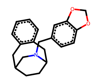 c1ccc2c(c1)CC1CCC(C2)N(Cc2ccc3c(c2)OCO3)C1